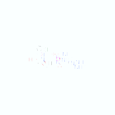 Cc1c(C(O)C(NC(=O)CCCCNC(=O)C(CC2=CCN(C(=N)N)C2)NC(=O)C(N)C(C)O)C(=O)O)oc2c(Cl)cccc12